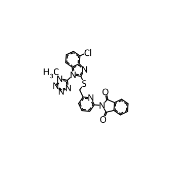 Cn1nnnc1-n1c(SCc2cccc(N3C(=O)c4ccccc4C3=O)n2)nc2c(Cl)cccc21